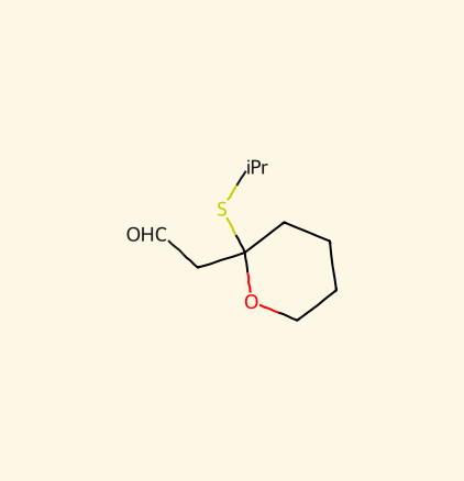 CC(C)SC1(CC=O)CCCCO1